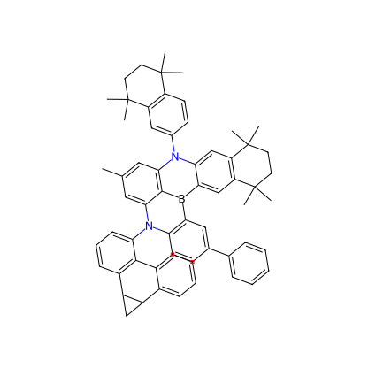 Cc1cc2c3c(c1)N(c1cccc4c1-c1ccccc1C1CC41)c1ccc(-c4ccccc4)cc1B3c1cc3c(cc1N2c1ccc2c(c1)C(C)(C)CCC2(C)C)C(C)(C)CCC3(C)C